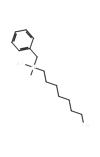 CCCCCCCC[N+](C)([O-])Cc1ccccc1